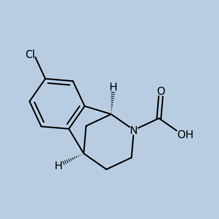 O=C(O)N1CC[C@@H]2C[C@H]1c1cc(Cl)ccc12